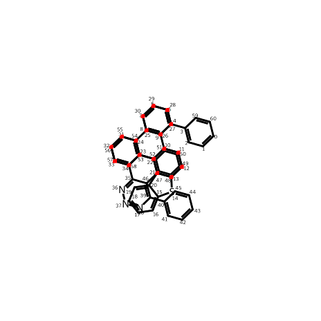 c1ccc(-c2ccccc2-c2ccc3sc4ccccc4c3c2-c2c(-c3ccccc3)cccc2-c2nnnc(-c3ccccc3)c2-c2ccccc2-c2ccccc2)cc1